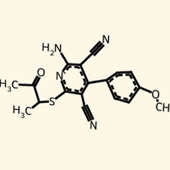 COc1ccc(-c2c(C#N)c(N)nc(SC(C)C(C)=O)c2C#N)cc1